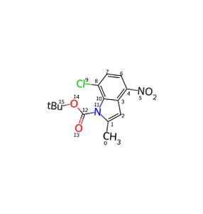 Cc1cc2c([N+](=O)[O-])ccc(Cl)c2n1C(=O)OC(C)(C)C